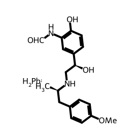 COc1ccc(C[C@@H](C)NC[C@H](O)c2ccc(O)c(NC=O)c2)cc1.[PbH2]